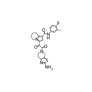 Cc1cc(NC(=O)c2cc(C(=O)C(=O)N3CCc4nc(N)sc4C3)n3c2CCCC3)ccc1F